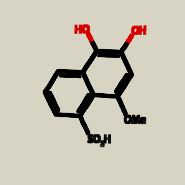 COc1cc(O)c(O)c2cccc(S(=O)(=O)O)c12